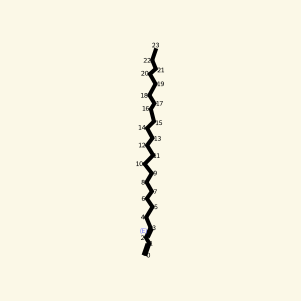 C=C/C=C/CCCCCCCCCCCCCCCCCCCC